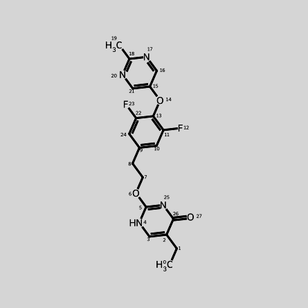 CCc1c[nH]c(OCCc2cc(F)c(Oc3cnc(C)nc3)c(F)c2)nc1=O